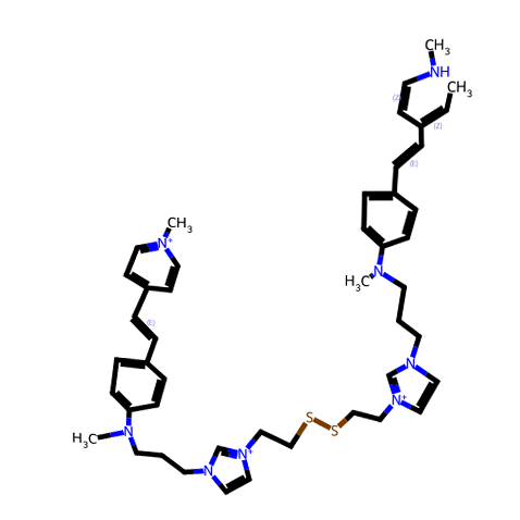 C/C=C(\C=C/NC)/C=C/c1ccc(N(C)CCCn2cc[n+](CCSSCC[n+]3ccn(CCCN(C)c4ccc(/C=C/c5cc[n+](C)cc5)cc4)c3)c2)cc1